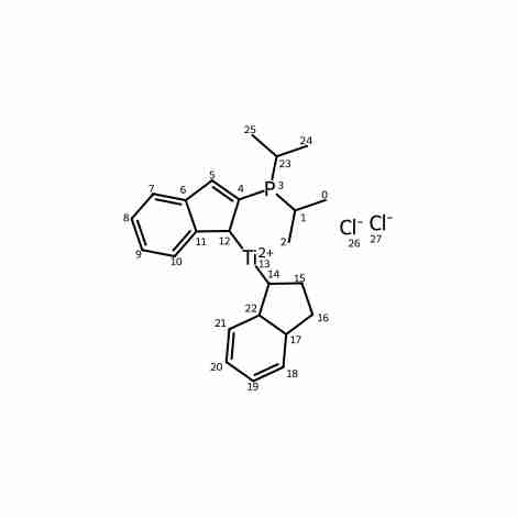 CC(C)P(C1=Cc2ccccc2[CH]1[Ti+2][CH]1CCC2C=CC=CC21)C(C)C.[Cl-].[Cl-]